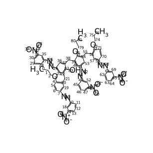 CCCOc1ccc(N=Nc2cccc([N+](=O)[O-])c2)cc1Cc1cc(N=Nc2cccc([N+](=O)[O-])c2)cc(Cc2cc(N=Nc3cccc([N+](=O)[O-])c3)cc(Cc3cc(N=Nc4cccc([N+](=O)[O-])c4)ccc3OCCC)c2OCCC)c1O